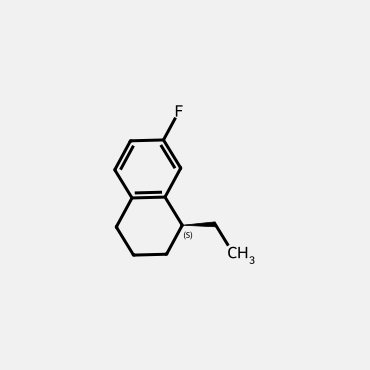 CC[C@H]1CCCc2ccc(F)cc21